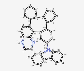 c1ccc2c(c1)-c1ccccc1-c1ccc3nccnc3c1-c1cc(-n3c4ccccc4c4ccccc43)ccc1-2